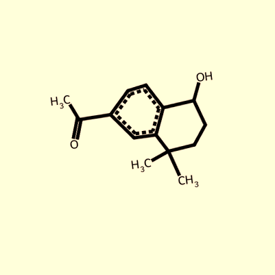 CC(=O)c1ccc2c(c1)C(C)(C)CCC2O